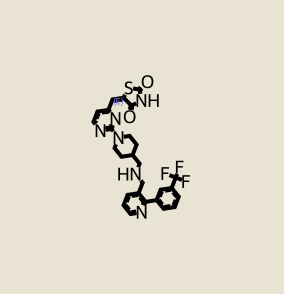 O=C1NC(=O)/C(=C\c2ccnc(N3CCC(CNCc4cccnc4-c4cccc(C(F)(F)F)c4)CC3)n2)S1